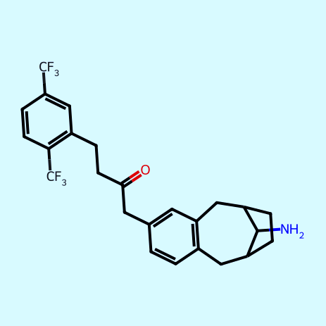 NC1C2CCC1Cc1cc(CC(=O)CCc3cc(C(F)(F)F)ccc3C(F)(F)F)ccc1C2